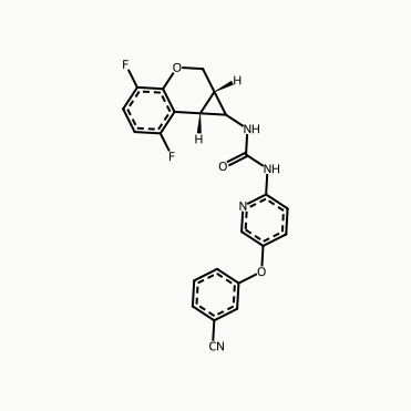 N#Cc1cccc(Oc2ccc(NC(=O)NC3[C@H]4COc5c(F)ccc(F)c5[C@@H]34)nc2)c1